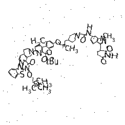 Cc1cc(OC[C@H](C)CC2CCN(CC(=O)Nc3ccc4c(C5CCC(=O)NC5=O)nn(C)c4c3)CC2)ccc1-c1ccc(N2CCc3ccnc(C(=O)N(COCC[Si](C)(C)C)c4nc5ccccc5s4)c3C2)nc1C(=O)OC(C)(C)C